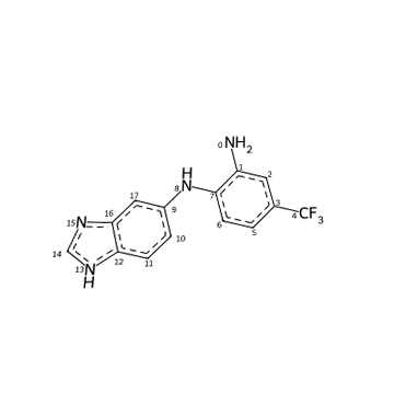 Nc1cc(C(F)(F)F)ccc1Nc1ccc2[nH]cnc2c1